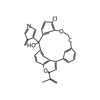 C=C(C)C(=O)/C=C1/c2cccc(c2)CCOc2cc(ccc2Cl)C(O)(C2=CN=CC2=C)c2ccc(C)c1c2